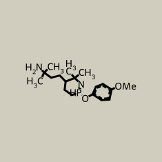 COc1ccc(O[PH]2=NC(C)(C)C(CCC(C)(C)N)CC2)cc1